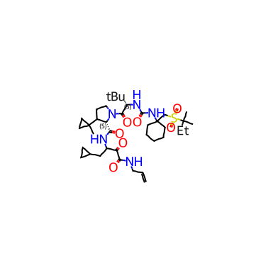 C=CCNC(=O)C(=O)C(CC1CC1)NC(=O)[C@@H]1C(C2(C)CC2)CCN1C(=O)[C@@H](NC(=O)NC1(CS(=O)(=O)C(C)(C)CC)CCCCC1)C(C)(C)C